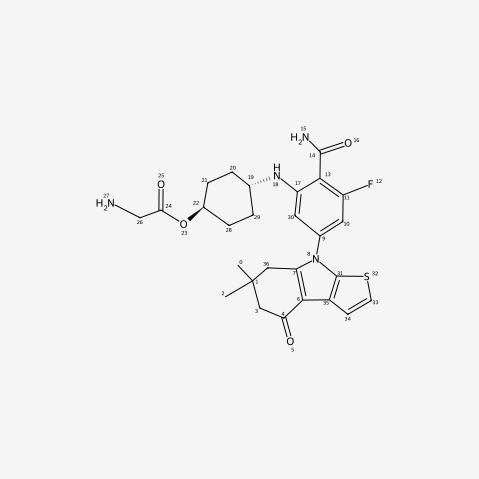 CC1(C)CC(=O)c2c(n(-c3cc(F)c(C(N)=O)c(N[C@H]4CC[C@H](OC(=O)CN)CC4)c3)c3sccc23)C1